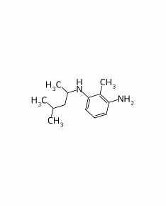 Cc1c(N)cccc1NC(C)CC(C)C